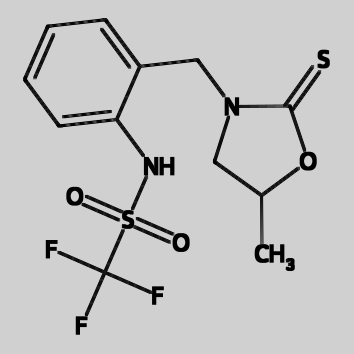 CC1CN(Cc2ccccc2NS(=O)(=O)C(F)(F)F)C(=S)O1